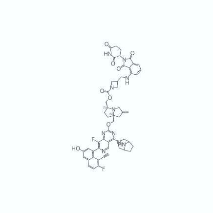 C#Cc1c(F)ccc2cc(O)cc(-c3ncc4c(N5CC6CCC(C5)N6)nc(OC[C@@]56CC[C@@H](COC(=O)N7CC(CNc8cccc9c8C(=O)N(C8CCC(=O)NC8=O)C9=O)C7)N5CC(=C)C6)nc4c3F)c12